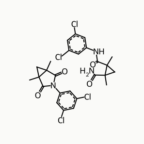 CC1(C(N)=O)CC1(C)C(=O)Nc1cc(Cl)cc(Cl)c1.CC12CC1(C)C(=O)N(c1cc(Cl)cc(Cl)c1)C2=O